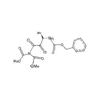 CC[C@H](C)[C@H](NC(=O)OCc1ccccc1)C(=O)C(=O)N(C(=O)OC)C(=O)OC